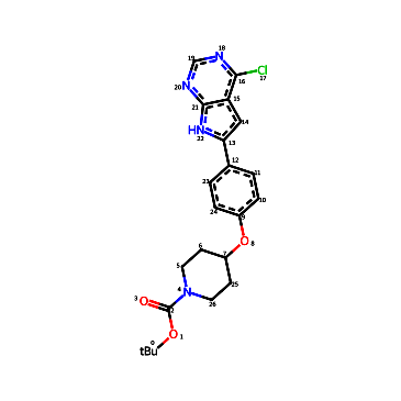 CC(C)(C)OC(=O)N1CCC(Oc2ccc(-c3cc4c(Cl)ncnc4[nH]3)cc2)CC1